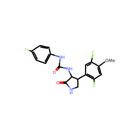 COc1cc(F)c(C2CNC(=O)C2NC(=O)Nc2ccc(F)cc2)cc1F